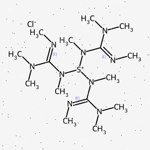 C/N=C(\N(C)C)N(C)[S+](N(C)/C(=N/C)N(C)C)N(C)/C(=N/C)N(C)C.[Cl-]